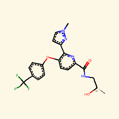 C[C@H](O)CNC(=O)c1ccc(Oc2ccc(C(F)(F)F)cc2)c(-c2ccn(C)n2)n1